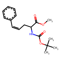 COC(=O)C(C/C=C\c1ccccc1)NC(=O)OC(C)(C)C